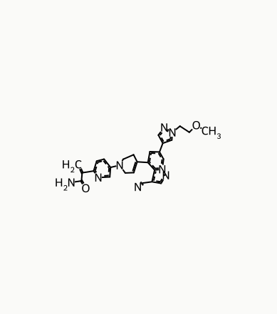 C=C(C(N)=O)c1ccc(N2CC=C(c3cc(-c4cnn(CCOC)c4)cn4ncc(C#N)c34)CC2)cn1